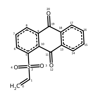 C=CS(=O)(=O)c1cccc2c1C(=O)c1ccccc1C2=O